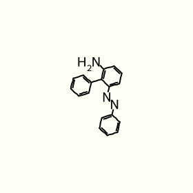 Nc1cccc(N=Nc2ccccc2)c1-c1ccccc1